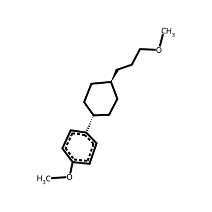 COCCC[C@H]1CC[C@H](c2ccc(OC)cc2)CC1